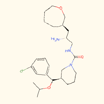 CC(C)OC(c1cccc(Cl)c1)[C@@H]1CCCN(C(=O)NC[C@H](N)C[C@H]2CCCCOC2)C1